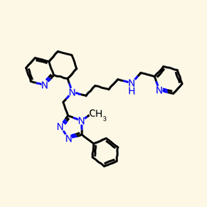 Cn1c(CN(CCCCNCc2ccccn2)C2CCCc3cccnc32)nnc1-c1ccccc1